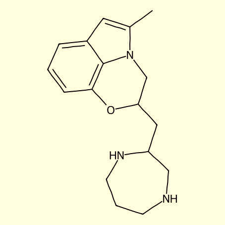 Cc1cc2cccc3c2n1CC(CC1CNCCCN1)O3